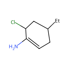 CCC1CC=C(N)C(Cl)C1